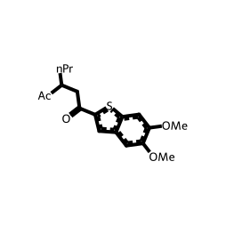 CCCC(CC(=O)c1cc2cc(OC)c(OC)cc2s1)C(C)=O